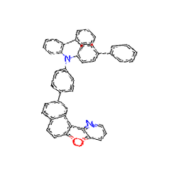 c1ccc(-c2ccc(N(c3ccc(-c4ccc5ccc6oc7cccnc7c6c5c4)cc3)c3ccccc3-c3ccccc3)cc2)cc1